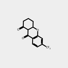 O=C1CCCC2Oc3cc(C(F)(F)F)ccc3C(=O)C12